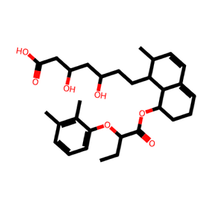 CCC(Oc1cccc(C)c1C)C(=O)OC1CCC=C2C=CC(C)C(CCC(O)CC(O)CC(=O)O)C21